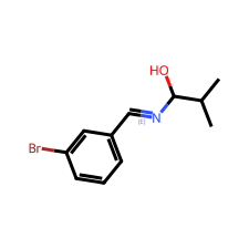 CC(C)C(O)/N=C/c1cccc(Br)c1